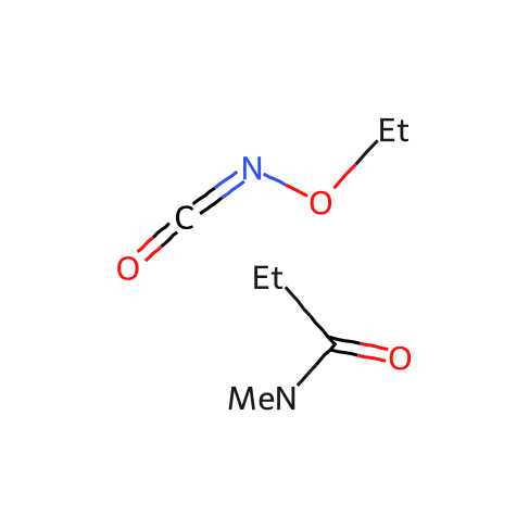 CCC(=O)NC.CCON=C=O